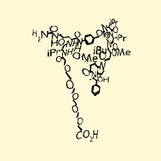 CCC(C)[C@@H]([C@@H](CC(=O)N1CCC[C@H]1[C@H](OC)[C@@H](C)C(=O)N[C@H](C)[C@@H](O)c1ccccc1)OC)N(C)C(=O)[C@@H](NC(=O)[C@H](C(C)C)N(C)C(=O)OCc1ccc(NC(=O)[C@H](CCCNC(N)=O)NC(=O)[C@@H](NC(=O)CCOCCOCCOCCOCCOCCC(=O)O)C(C)C)cc1)C(C)C